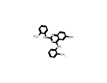 Cc1ccccc1Nc1nc(Nc2ccccc2C)c2cc(O)ccc2n1